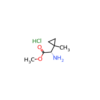 COC(=O)[C@@H](N)C1(C)CC1.Cl